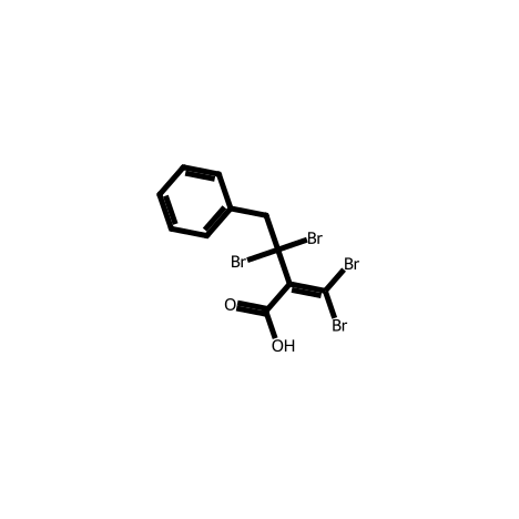 O=C(O)C(=C(Br)Br)C(Br)(Br)Cc1ccccc1